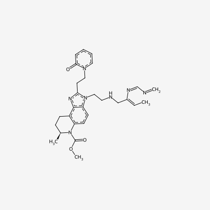 C=N/C=N\C(=C/C)CNCCn1c(CCn2ccccc2=O)nc2c3c(ccc21)N(C(=O)OC)[C@@H](C)CC3